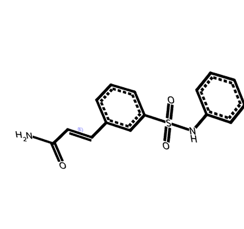 NC(=O)/C=C/c1cccc(S(=O)(=O)Nc2ccccc2)c1